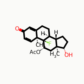 CC(=O)O[C@H]1C[C@]2(C)[C@@H](O)CC[C@H]2[C@@H]2CCC3=CC(=O)C=C[C@]3(C)[C@@]12F